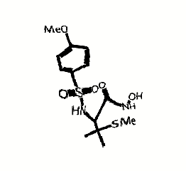 COc1ccc(S(=O)(=O)NC(C(=O)NO)C(C)(C)SC)cc1